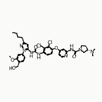 CCCCc1cc(NC(=O)Nc2ccc(Oc3ccnc(NC(=O)N4CC[C@H](N(C)C)C4)c3)c(Cl)c2Cl)n(-c2ccc(CO)c(OC)c2)n1